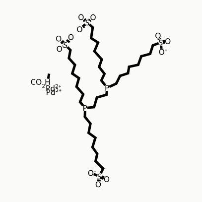 CC(=O)O.O=S(=O)([O-])CCCCCCCCP(CCCCCCCCS(=O)(=O)[O-])CCCP(CCCCCCCCS(=O)(=O)[O-])CCCCCCCCS(=O)(=O)[O-].[Pd+2].[Pd+2]